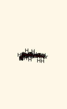 O=C(CBr)NCCCCC(NC(=O)COCCOCCNC(=O)CCC(NC(=O)CCC(NC(=O)CCCS(=O)(=O)NC(=O)CCCc1nnn[nH]1)C(=O)O)C(=O)O)C(=O)O